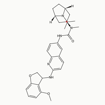 COc1cccc2c1C(Nc1ccc3cc(NC(=O)N(C)[C@@H]4C[C@H]5CC[C@@H](C4)N5C(C)C)ccc3n1)CO2